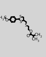 C=C(C)C(=O)OCCSCC1CSC(c2ccc(OC)cc2)S1